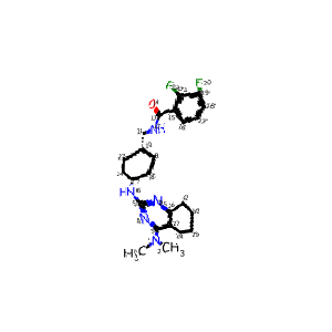 CN(C)c1nc(N[C@H]2CC[C@@H](CNC(=O)c3cccc(F)c3F)CC2)nc2c1CCCC2